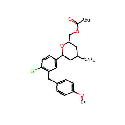 CCOc1ccc(Cc2cc(C3CC(C)CC(COC(=O)C(C)(C)C)O3)ccc2Cl)cc1